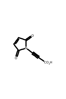 O=C(O)C#CN1C(=O)C=CC1=O